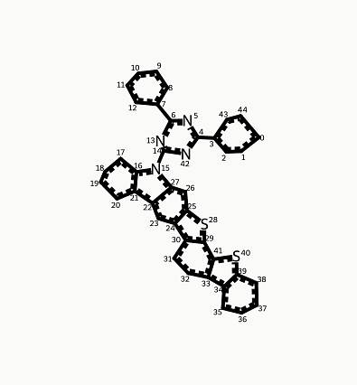 c1ccc(-c2nc(-c3ccccc3)nc(-n3c4ccccc4c4cc5c(cc43)sc3c5ccc4c5ccccc5sc43)n2)cc1